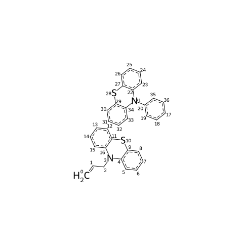 C=CCN1c2ccccc2Sc2ccccc21.c1ccc(N2c3ccccc3Sc3ccccc32)cc1